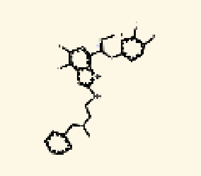 CN(CCNc1nc2c(F)c(F)cc(/C(=N/O)Nc3ccc(F)c(Cl)c3)c2[nH]1)Cc1ccccc1